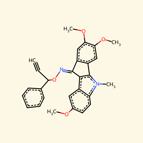 C#CC(ON=C1c2cc(OC)c(OC)cc2-c2c1c1cc(OC)ccc1n2C)c1ccccc1